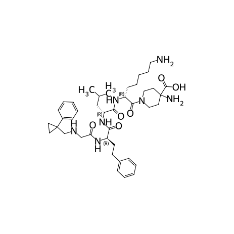 CC(C)C[C@@H](NC(=O)[C@@H](CCc1ccccc1)NC(=O)CNCC1(c2ccccc2)CC1)C(=O)N[C@H](CCCCCN)C(=O)N1CCC(N)(C(=O)O)CC1